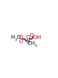 COC(=O)CCN(C)C(=O)CC(=O)O